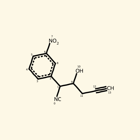 [C-]#[N+]C(c1cccc([N+](=O)[O-])c1)C(O)CC#C